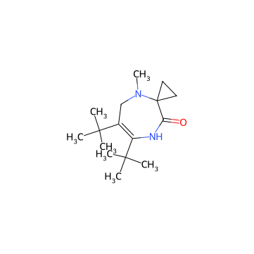 CN1CC(C(C)(C)C)=C(C(C)(C)C)NC(=O)C12CC2